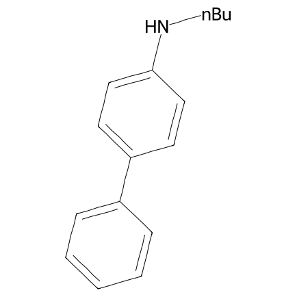 CCCCNc1ccc(-c2ccccc2)cc1